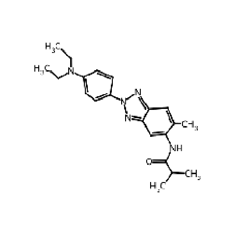 CCN(CC)c1ccc(-n2nc3cc(C)c(NC(=O)C(C)C)cc3n2)cc1